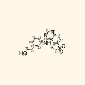 O=S1(=O)CCc2c1ccc1ncnc(Nc3cccc(CCO)c3)c21